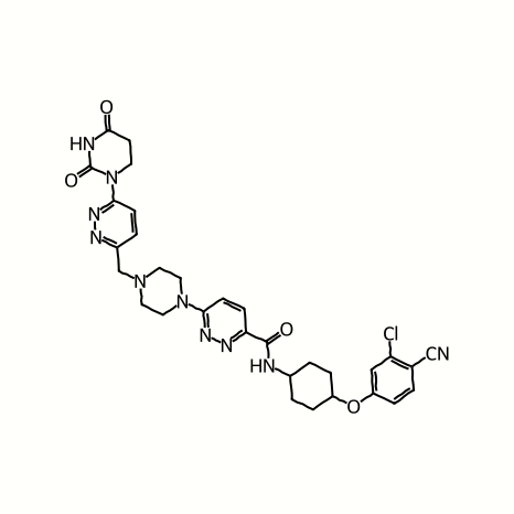 N#Cc1ccc(OC2CCC(NC(=O)c3ccc(N4CCN(Cc5ccc(N6CCC(=O)NC6=O)nn5)CC4)nn3)CC2)cc1Cl